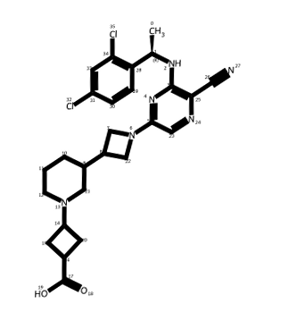 C[C@@H](Nc1nc(N2CC(C3CCCN(C4CC(C(=O)O)C4)C3)C2)cnc1C#N)c1ccc(Cl)cc1Cl